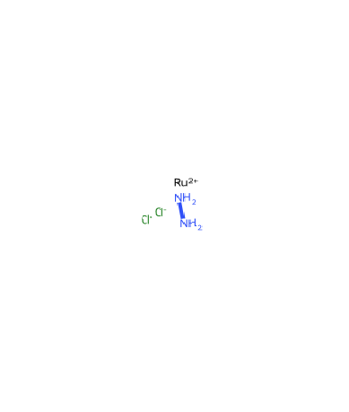 NN.[Cl-].[Cl-].[Ru+2]